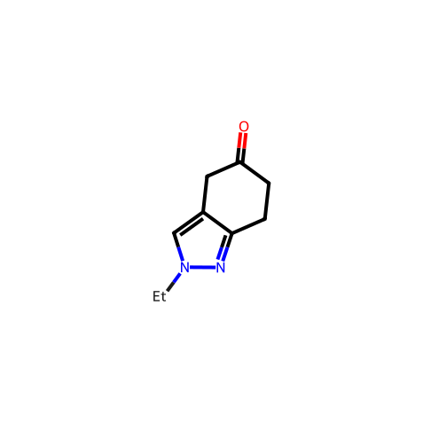 CCn1cc2c(n1)CCC(=O)C2